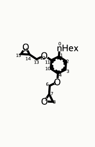 CCCCCCc1ccc(OCC2CO2)cc1OCC1CO1